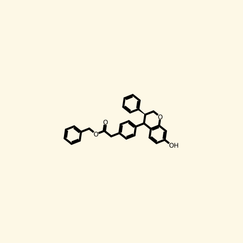 O=C(Cc1ccc(C2c3ccc(O)cc3OC[C@@H]2c2ccccc2)cc1)OCc1ccccc1